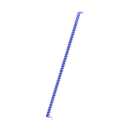 N=N/N=N/N=N/N=N/N=N/N=N/N=N/N=N/N=N/N=N/N=N/N=N/N=N/N=N/N=N/N=N/N=N/N=N/N=N/N=N/N=N/N=N/N=N/N=N/N=N/N=N/N=N/N=N/N=N/N=N/N=N/N=N/N=N/N=N/N=N/N=N/N=N/N=N/N=N/N=N/N=N/N=N/N=N/N